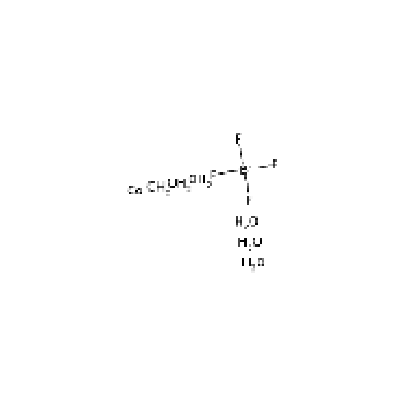 F[B-](F)(F)F.O.O.O.O.O.O.[Co]